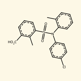 Cc1ccccc1N(c1ccc(Cl)cc1)S(=O)(=O)c1cccc(C(=O)O)c1C